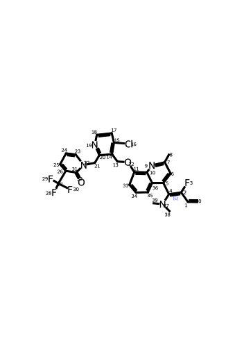 C=C/C(F)=C(/c1cc(C)nc2c(OCc3c(Cl)ccnc3Cn3cccc(C(F)(F)F)c3=O)cccc12)N(C)C